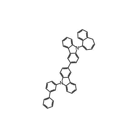 C1=CCc2ccccc2C(n2c3ccccc3c3cc(-c4ccc5c(c4)c4ccccc4n5-c4cccc(-c5ccccc5)c4)ccc32)=C1